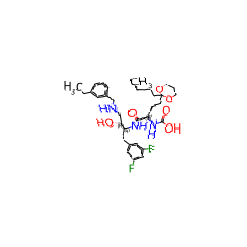 CCCCC1(CC[C@@H](NC(=O)O)C(=O)N[C@@H](Cc2cc(F)cc(F)c2)[C@H](O)CNCc2cccc(CC)c2)OCCCO1